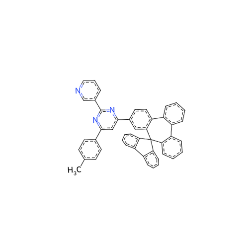 Cc1ccc(-c2cc(-c3ccc4c(c3)C3(c5ccccc5-c5ccccc5-4)c4ccccc4-c4ccccc43)nc(-c3cccnc3)n2)cc1